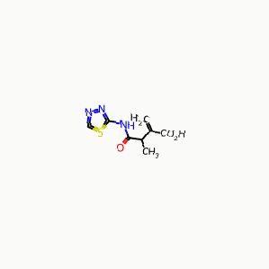 C=C(C(=O)O)C(C)C(=O)Nc1nncs1